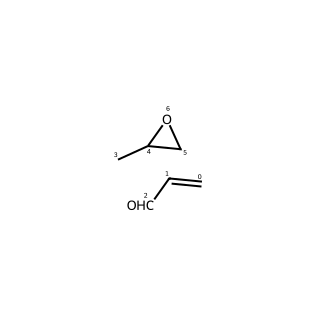 C=CC=O.CC1CO1